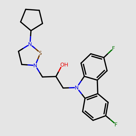 OC(CN1CCN(C2CCCC2)S1)Cn1c2ccc(F)cc2c2cc(F)ccc21